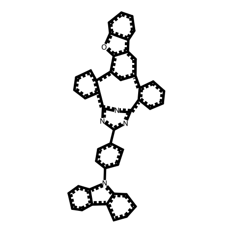 c1ccc2c(c1)oc1c2cc2cc1c1ccccc1c1nc(-c3ccc(-n4c5ccccc5c5ccccc54)cc3)nc(n1)c1ccccc21